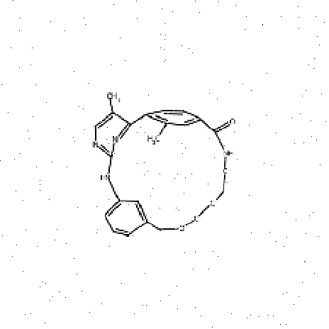 Cc1cc2ccc1-c1nc(ncc1C)Nc1cccc(c1)COCCCCNC2=O